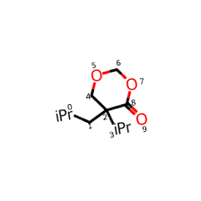 CC(C)CC1(C(C)C)COCOC1=O